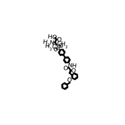 CC(C)([C@H](N)C(=O)O)S(=O)(=O)c1ccc(-c2ccc(NC(=O)c3cc4c(OCc5ccccc5)cccc4o3)cc2)cc1